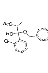 CC(=O)OC(C)C(O)(OCc1ccccc1)c1ccccc1Cl